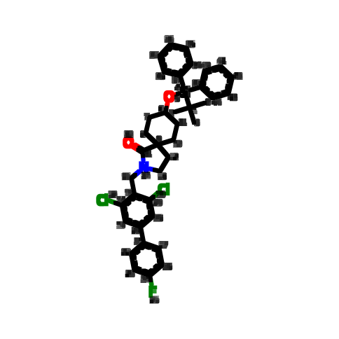 CC(C)(C)[Si](OC1CCC2(CC1)CCN(Cc1c(Cl)cc(-c3ccc(F)cc3)cc1Cl)C2=O)(c1ccccc1)c1ccccc1